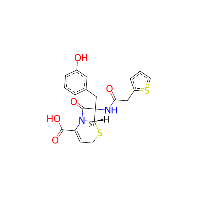 O=C(Cc1cccs1)NC1(Cc2cccc(O)c2)C(=O)N2C(C(=O)O)=CCS[C@H]21